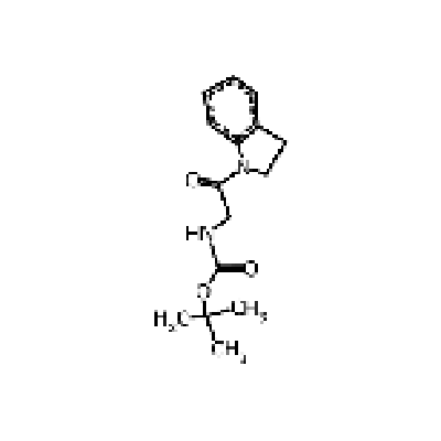 CC(C)(C)OC(=O)NCC(=O)N1CCc2ccccc21